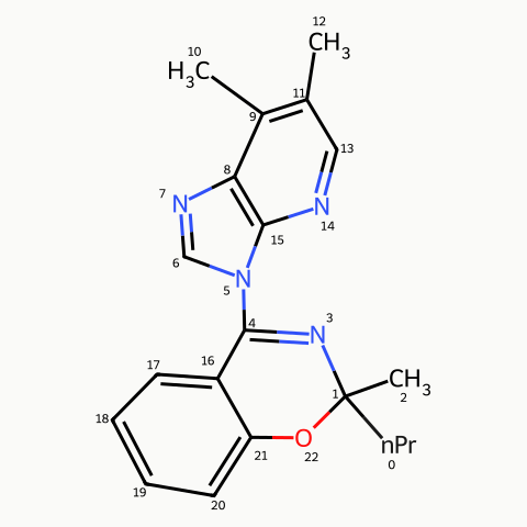 CCCC1(C)N=C(n2cnc3c(C)c(C)cnc32)c2ccccc2O1